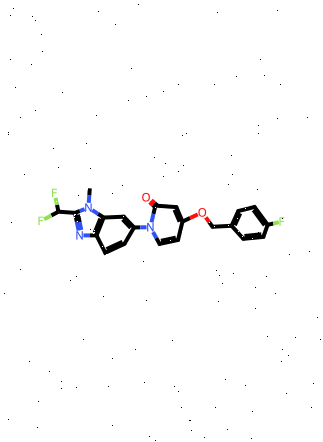 Cn1c(C(F)F)nc2ccc(-n3ccc(OCc4ccc(F)cc4)cc3=O)cc21